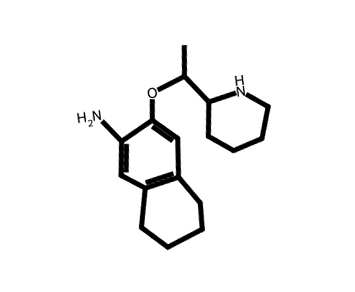 CC(Oc1cc2c(cc1N)CCCC2)C1CCCCN1